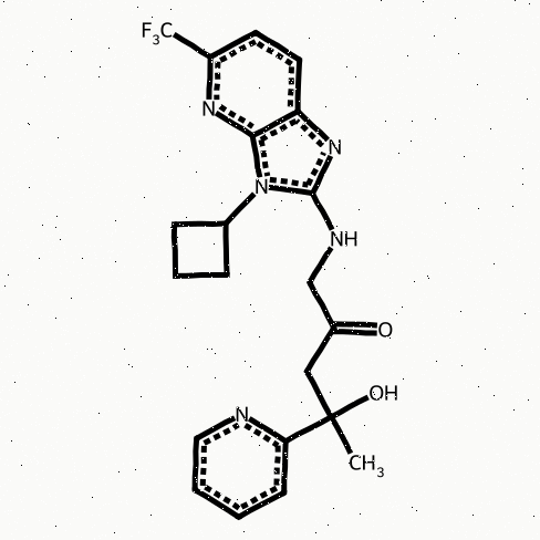 CC(O)(CC(=O)CNc1nc2ccc(C(F)(F)F)nc2n1C1CCC1)c1ccccn1